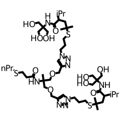 CCCSCCC(=O)NC(C)(COCc1cn(CCCSC(C)(C)CC(C(=O)NC(CO)(CO)CO)C(C)C)nn1)COCc1cn(CCCSC(C)(C)CC(C(=O)NC(CO)(CO)CO)C(C)C)nn1